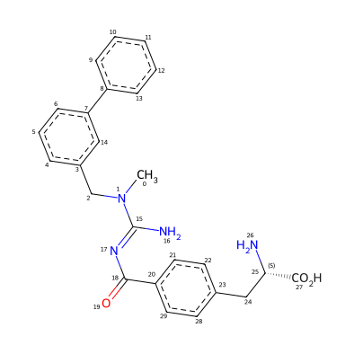 CN(Cc1cccc(-c2ccccc2)c1)C(N)=NC(=O)c1ccc(C[C@H](N)C(=O)O)cc1